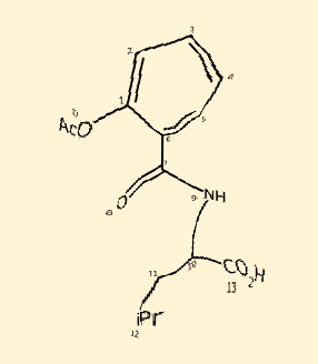 CC(=O)Oc1ccccc1C(=O)NC(CC(C)C)C(=O)O